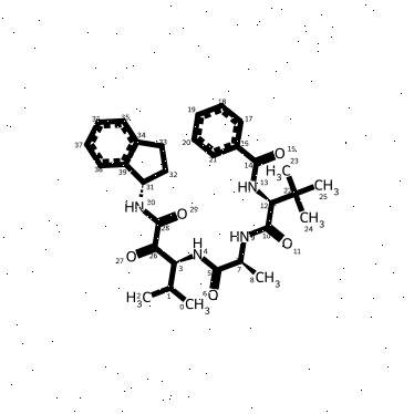 CC(C)[C@H](NC(=O)[C@H](C)NC(=O)[C@@H](NC(=O)c1ccccc1)C(C)(C)C)C(=O)C(=O)N[C@H]1CCc2ccccc21